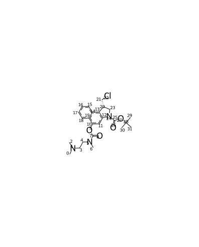 CN(C)CCN(C)C(=O)Oc1cc2c(c3ccccc13)[C@H](CCl)CN2C(=O)OC(C)(C)C